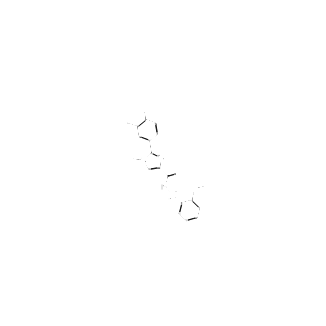 COc1ccccc1S(=O)(=O)NC(=O)c1cn(C)c(-c2ccc(Cl)c(Cl)c2)n1